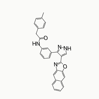 Cc1ccc(CC(=O)Nc2cccc(-c3n[nH]cc3-c3nc4cc5ccccc5cc4o3)c2)cc1